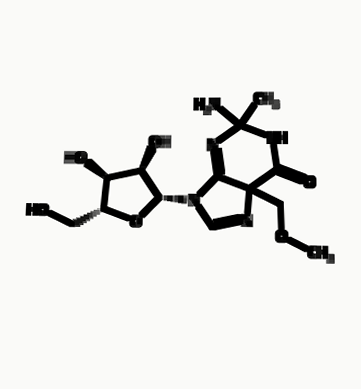 COCC12N=CN([C@@H]3O[C@H](CO)[C@@H](O)[C@H]3O)C1=NC(C)(N)NC2=O